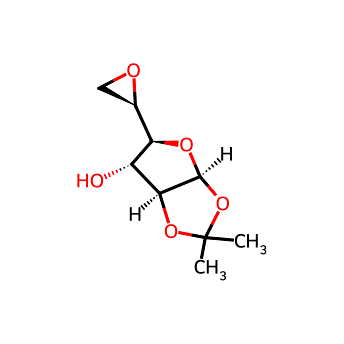 CC1(C)O[C@@H]2O[C@H]([C@H]3CO3)[C@@H](O)[C@@H]2O1